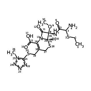 CCSC(N)C(=O)N[C@]1(OC)C(=O)N2C(C(=O)O)=C(CSc3nnnn3C)CS[C@H]21